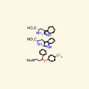 CNCCC(Oc1ccc(C(F)(F)F)cc1)c1ccccc1.N[C@@H](Cc1c[nH]c2ccccc12)C(=O)O.N[C@@H](Cc1c[nH]c2ccccc12)C(=O)O